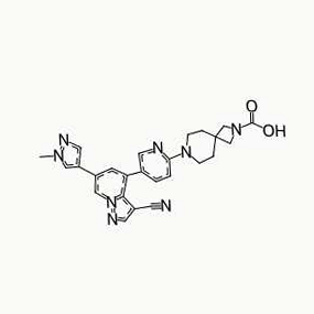 Cn1cc(-c2cc(-c3ccc(N4CCC5(CC4)CN(C(=O)O)C5)nc3)c3c(C#N)cnn3c2)cn1